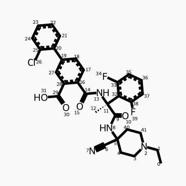 CCN1CCC(C#N)(NC(=O)[C@@](C)(NC(=O)c2ccc(-c3ccccc3Cl)cc2C(=O)O)c2c(F)cccc2F)CC1